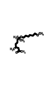 COCCCCCCOC(C)(C)CCCC(C)CC(C)=O